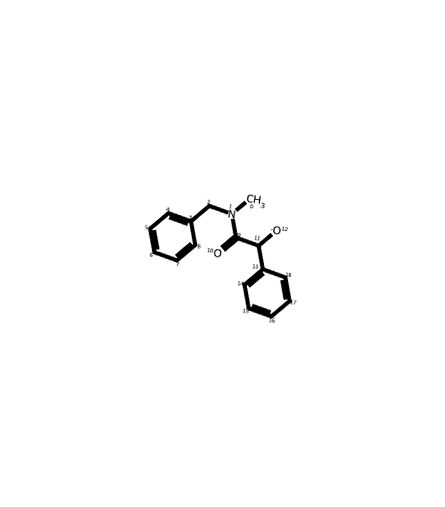 CN(Cc1ccccc1)C(=O)C([O])c1ccccc1